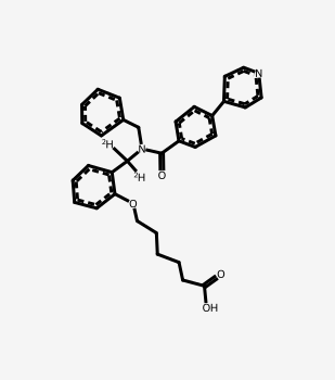 [2H]C([2H])(c1ccccc1OCCCCCC(=O)O)N(Cc1ccccc1)C(=O)c1ccc(-c2ccncc2)cc1